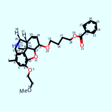 COCCOc1cc(C)c2c3c1OC1C(OCCCCOC(=O)c4ccccc4)C=C[C@H]4[C@@H](C2)NCC[C@]314